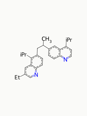 CCc1cnc2ccc(CC(C)c3ccc4nccc(C(C)C)c4c3)c(C(C)C)c2c1